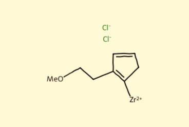 COCCC1=[C]([Zr+2])CC=C1.[Cl-].[Cl-]